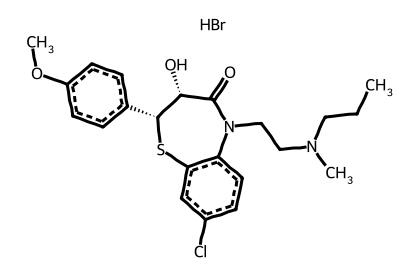 Br.CCCN(C)CCN1C(=O)[C@@H](O)[C@@H](c2ccc(OC)cc2)Sc2cc(Cl)ccc21